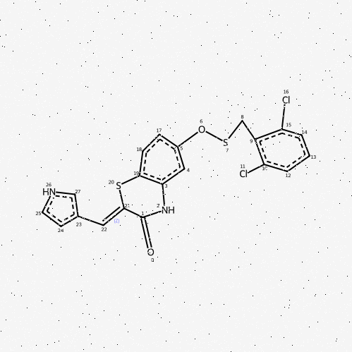 O=C1Nc2cc(OSCc3c(Cl)cccc3Cl)ccc2S/C1=C\c1cc[nH]c1